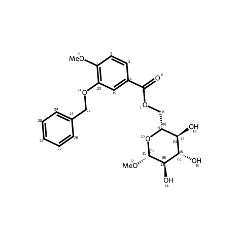 COc1ccc(C(=O)OC[C@H]2O[C@@H](OC)[C@H](O)[C@@H](O)[C@@H]2O)cc1OCc1ccccc1